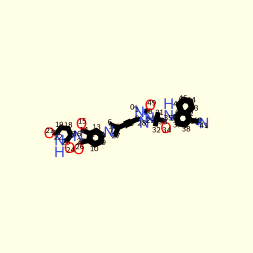 Cn1c(C#CC2CN(c3ccc4c(c3)C(=O)N(C3CCC(=O)NC3=O)C4=O)C2)nn(C(C)(C)C(=O)Nc2ccc(C#N)c3ccccc23)c1=O